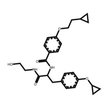 O=C(NC(Cc1ccc(OC2CC2)cc1)C(=O)NCCO)c1ccc(OCCC2CC2)cc1